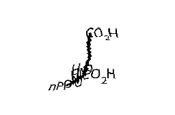 CCCOCCCNC(=O)CC[C@H](NC(=O)CCCCCCCCCCCCCCCCC(=O)O)C(=O)O